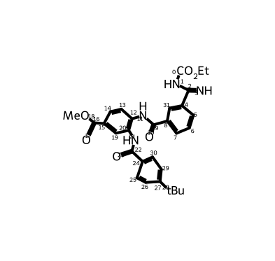 CCOC(=O)NC(=N)c1cccc(C(=O)Nc2ccc(C(=O)OC)cc2NC(=O)c2ccc(C(C)(C)C)cc2)c1